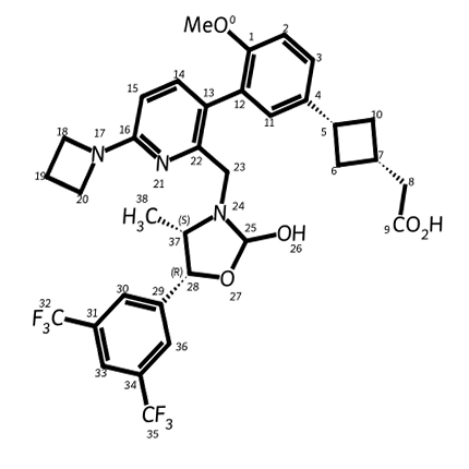 COc1ccc([C@H]2C[C@@H](CC(=O)O)C2)cc1-c1ccc(N2CCC2)nc1CN1C(O)O[C@H](c2cc(C(F)(F)F)cc(C(F)(F)F)c2)[C@@H]1C